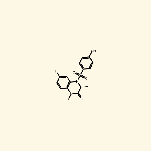 CCN1C(=O)[C@H](C)N(S(=O)(=O)c2ccc(O)cc2)c2cc(F)ccc21